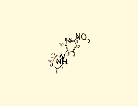 O=[N+]([O-])c1ccc(N2CC3CCC(C2)N3)cn1